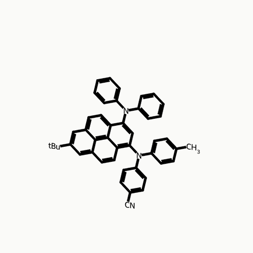 Cc1ccc(N(c2ccc(C#N)cc2)c2cc(N(c3ccccc3)c3ccccc3)c3ccc4cc(C(C)(C)C)cc5ccc2c3c45)cc1